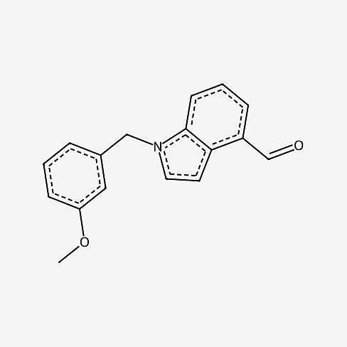 COc1cccc(Cn2ccc3c(C=O)cccc32)c1